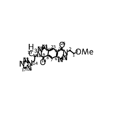 COCCn1nnc2cc3c(=O)n([C@H](C)Cn4ncnn4)nnc3cc2c1=O